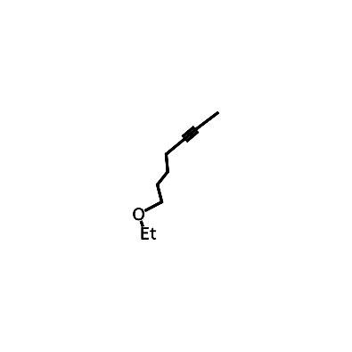 [CH2]COCCCCC#CC